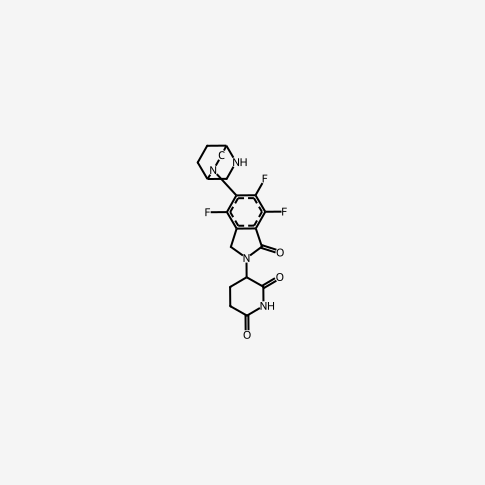 O=C1CCC(N2Cc3c(F)c(N4CC5CCC4CN5)c(F)c(F)c3C2=O)C(=O)N1